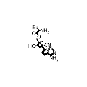 CCC(C)[C@H](N)C(=O)OC[C@H]1O[C@@](C#N)(c2ccc3c(N)ncnn23)C[C@@H]1O